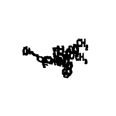 Cc1cc(C)c(OC(=O)NC2C=C(F)N=C(Nc3ccc(OCCCN4CCCCC4)c(F)c3)N2Cc2cccc3c2OOCC3)c(C)c1